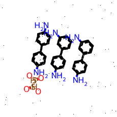 Nc1ccc(-c2ccc(N)cc2)cc1.Nc1ccc(-c2cccc(N)c2)cc1.Nc1ccc(-c2cccc(N)c2)cc1.O=[SH](=O)[SH](=O)=O